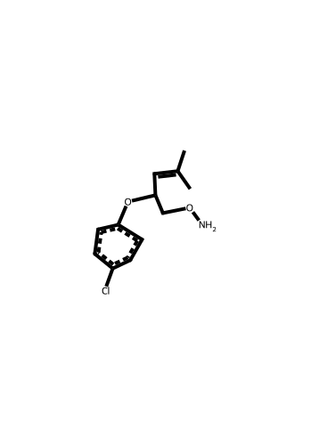 CC(C)=CC(CON)Oc1ccc(Cl)cc1